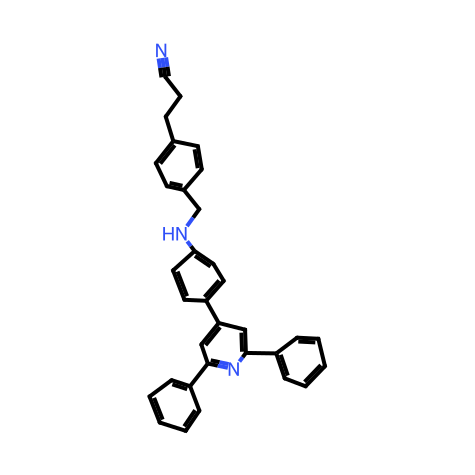 N#CCCc1ccc(CNc2ccc(-c3cc(-c4ccccc4)nc(-c4ccccc4)c3)cc2)cc1